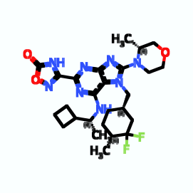 C[C@@H]1COCCN1c1nc2nc(-c3noc(=O)[nH]3)nc(N[C@H](C)C3CCC3)c2n1C[C@@H]1CC[C@@H](C)C(F)(F)C1